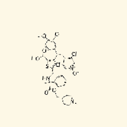 COc1ccc([C@H](Cc2c(Cl)c[n+]([O-])cc2Cl)c2cc(CNC(C)(C(=O)OCC3CCN(C)CC3)c3ccccc3)sc2C(=O)O)cc1OC